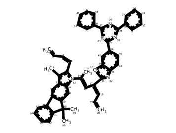 C=C/C=C\c1c(C)c2cc3c(cc2n1/C(C)=C/C(=C\C=C)c1nc2ccc(-c4nc(-c5ccccc5)nc(-c5ccccc5)n4)cc2o1)C(C)(C)c1ccccc1-3